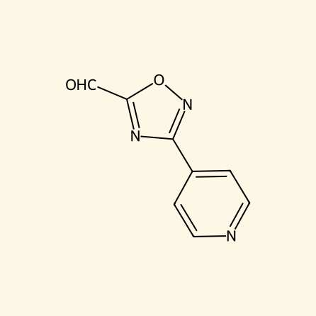 O=Cc1nc(-c2ccncc2)no1